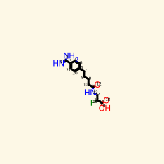 N=C(N)c1ccc(CCCCC(=O)NCC(F)C(=O)O)cc1